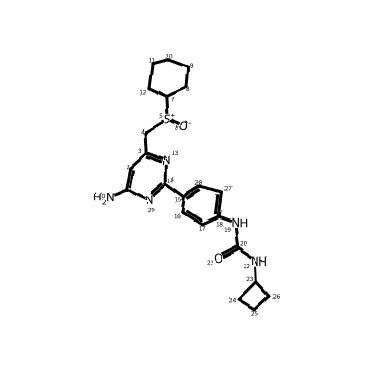 Nc1cc(C[S+]([O-])C2CCCCC2)nc(-c2ccc(NC(=O)NC3CCC3)cc2)n1